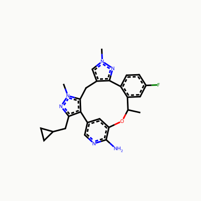 CC1Oc2cc(cnc2N)-c2c(CC3CC3)nn(C)c2Cc2cn(C)nc2-c2ccc(F)cc21